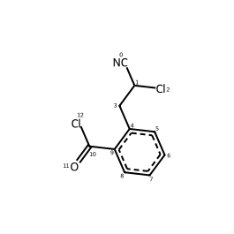 N#CC(Cl)Cc1ccccc1C(=O)Cl